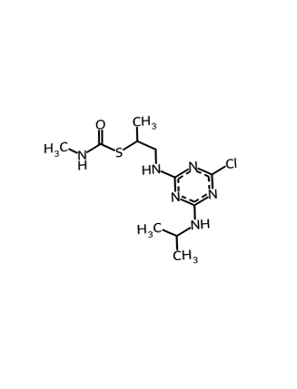 CNC(=O)SC(C)CNc1nc(Cl)nc(NC(C)C)n1